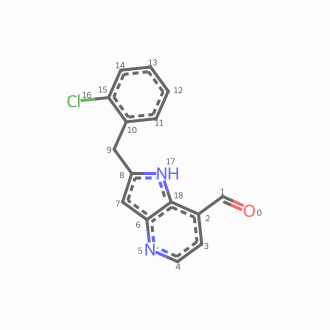 O=Cc1ccnc2cc(Cc3ccccc3Cl)[nH]c12